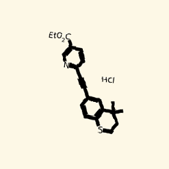 CCOC(=O)c1ccc(C#Cc2ccc3c(c2)C(C)(C)CCS3)nc1.Cl